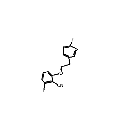 N#Cc1c(F)cccc1OCCc1ccc(F)cc1